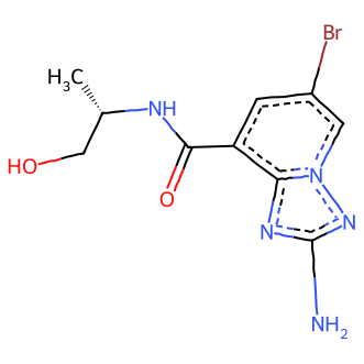 C[C@@H](CO)NC(=O)c1cc(Br)cn2nc(N)nc12